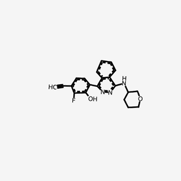 C#Cc1ccc(-c2nnc(NC3CCCOC3)c3ccccc23)c(O)c1F